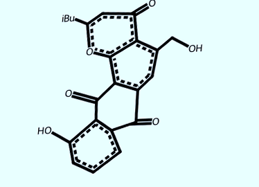 CCC(C)c1cc(=O)c2c(CO)cc3c(c2o1)C(=O)c1c(O)cccc1C3=O